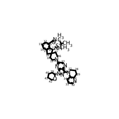 CC(C)(C)[S@@+]([O-])N[C@@H]1c2c(C#N)cccc2CC12CCN(c1cnc3c(N4CCCc5ncccc54)nn([C@H]4CCCCO4)c3n1)CC2